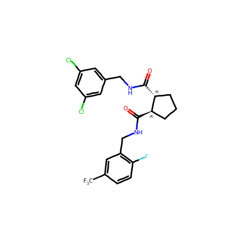 O=C(NCc1cc(Cl)cc(Cl)c1)[C@@H]1CCC[C@H]1C(=O)NCc1cc(C(F)(F)F)ccc1F